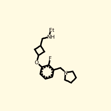 CCNCC1CC(Oc2cccc(CN3CCCC3)c2F)C1